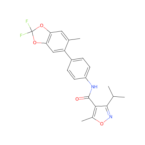 Cc1cc2c(cc1-c1ccc(NC(=O)c3c(C(C)C)noc3C)cc1)OC(F)(F)O2